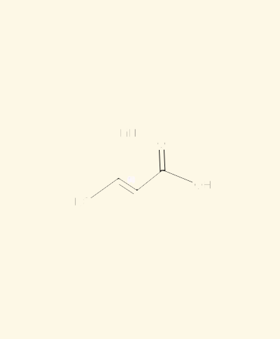 C/C=C/C(=O)O.[LiH]